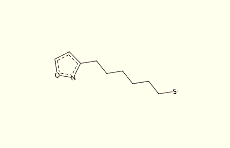 [S]CCCCCCc1ccon1